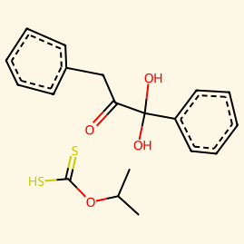 CC(C)OC(=S)S.O=C(Cc1ccccc1)C(O)(O)c1ccccc1